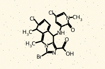 CC1=C2C(=CC=C(Cl)C2C)C(Nc2cc(Cl)cn(C)c2=O)c2c(C(=O)O)nc(Br)n21